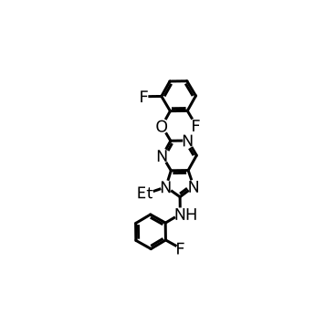 CCn1c(Nc2ccccc2F)nc2cnc(Oc3c(F)cccc3F)nc21